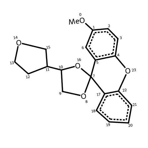 COc1ccc2c(c1)C1(OCC(C3CCOC3)O1)c1ccccc1O2